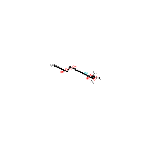 CCCCCCCCCC[C@H](O)[C@H]1CC[C@H]([C@H]2CC[C@H](C(O)CCCCCCCCCCCC([18F])CCC(O)C3=C(C)C(=O)C(OC)=C(C)C3=O)O2)O1